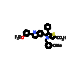 COc1cccc(Cn2c(-c3ccc4nc(-c5cccc(OC(F)(F)F)c5)ccc4c3)c(-c3ccccc3)c3sc(C(=O)O)cc32)c1